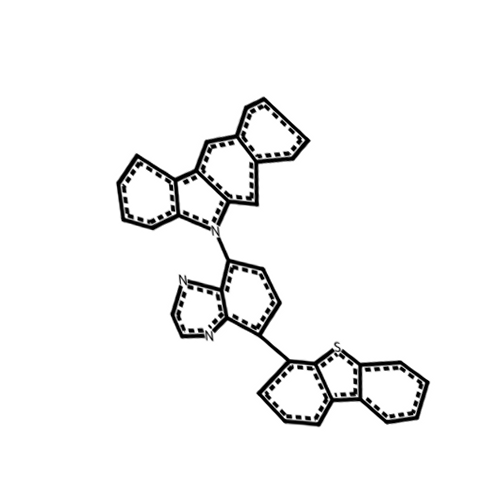 c1ccc2cc3c(cc2c1)c1ccccc1n3-c1ccc(-c2cccc3c2sc2ccccc23)c2nccnc12